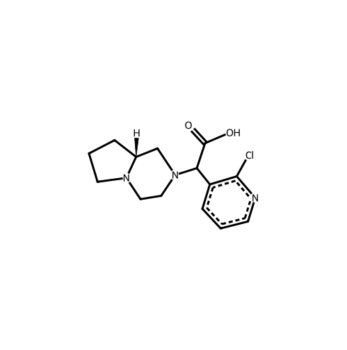 O=C(O)C(c1cccnc1Cl)N1CCN2CCC[C@@H]2C1